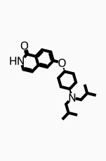 CC(C)CN(CC(C)C)[C@H]1CC[C@H](Oc2ccc3c(=O)[nH]ccc3c2)CC1